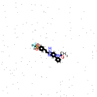 CC(=O)Nc1ccccc1-c1ccc2[nH]c(C=Cc3ccc(S(=O)(=O)C(F)(F)F)cc3)nc2c1